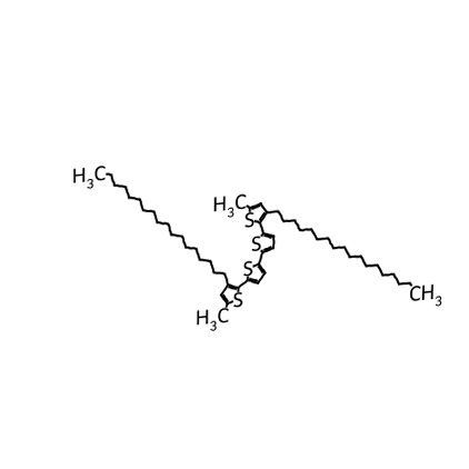 CCCCCCCCCCCCCCCCCCc1cc(C)sc1-c1ccc(-c2ccc(-c3sc(C)cc3CCCCCCCCCCCCCCCCCC)s2)s1